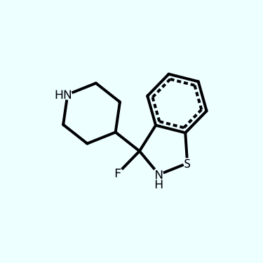 FC1(C2CCNCC2)NSc2ccccc21